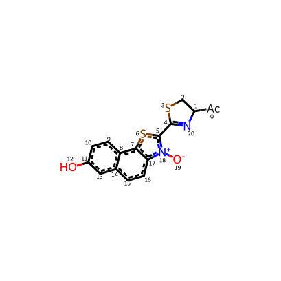 CC(=O)C1CSC(c2sc3c4ccc(O)cc4ccc3[n+]2[O-])=N1